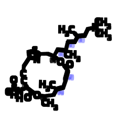 CC(/C=C/C(C)=C/[C@@H]1Cc2nc(cs2)CCC[C@H](N[SH](=O)=O)C(=O)O[C@@H](C)C/C(C)=C/C=C\C(=O)O1)=C\CN(C)C